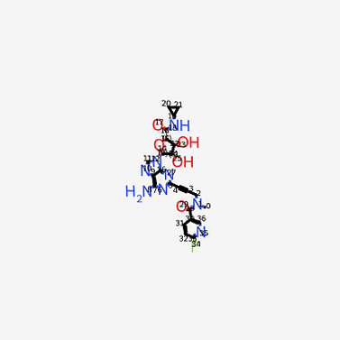 CN(CC#Cc1nc(N)c2ncn([C@@H]3O[C@H](C(=O)NC4CC4)C(O)[C@H]3O)c2n1)C(=O)c1ccc(F)nc1